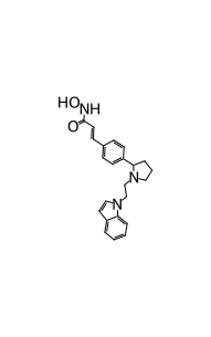 O=C(/C=C/c1ccc(C2CCCN2CCn2ccc3ccccc32)cc1)NO